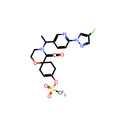 CC(c1ccc(-n2cc(F)cn2)nc1)N1CCOC2(CC=C(OS(=O)(=O)C(F)(F)F)CC2)C1=C=O